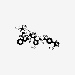 Cc1ncsc1-c1ccc([C@H](C)NC(=O)[C@@H]2C[C@@H](O)CN2C(=O)[C@@H](NC(=O)CC2(CNC(=O)OC(C)(C)C)CCCCC2)C(C)(C)C)cc1